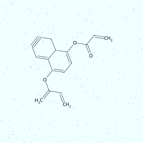 C=CC(=C)OC1=CC=C(OC(=O)C=C)C2CC#CC=C12